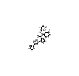 O=c1c2c(-n3cc(C4CCCN4)nn3)ncn2c2ccc(F)cc2n1CC1CCCO1